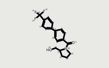 O=C(c1ccc(-c2ccc(C(F)(F)F)cc2)cc1)N1CCCC1CO